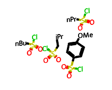 CC(C)CS(=O)(=O)Cl.CCCCS(=O)(=O)Cl.CCCS(=O)(=O)Cl.COc1ccc(S(=O)(=O)Cl)cc1